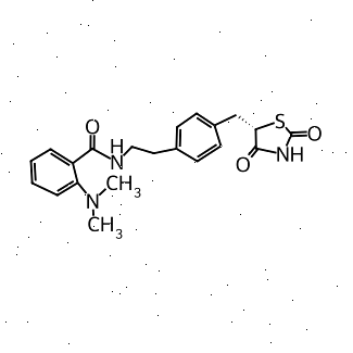 CN(C)c1ccccc1C(=O)NCCc1ccc(C[C@@H]2SC(=O)NC2=O)cc1